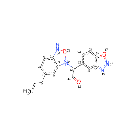 C=CCc1ccc2c(c1)N(C(C=O)c1ccc3onnc3c1)ON2